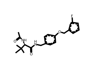 CC(=O)N[C@@H](C(=O)NCc1ccc(OCc2cccc(F)c2)cc1)C(C)(C)C